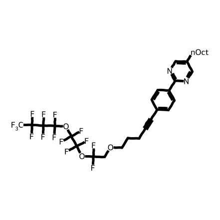 CCCCCCCCc1cnc(-c2ccc(C#CCCCOCC(F)(F)OC(F)(F)C(F)(F)OC(F)(F)C(F)(F)C(F)(F)C(F)(F)F)cc2)nc1